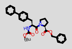 CC(C)(C)OC(=O)N[C@@H](Cc1ccc(-c2ccccc2)cc1)C(=O)N1CCC[C@H]1C(=O)OCc1ccccc1